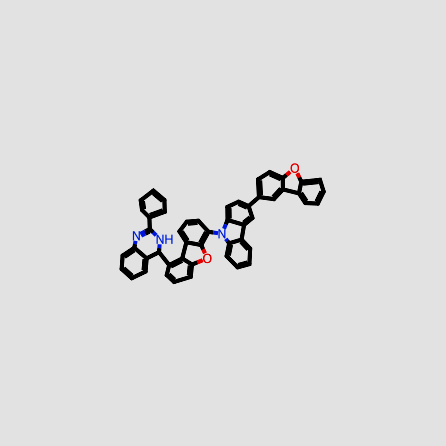 c1ccc(C2=Nc3ccccc3C(c3cccc4oc5c(-n6c7ccccc7c7cc(-c8ccc9oc%10ccccc%10c9c8)ccc76)cccc5c34)N2)cc1